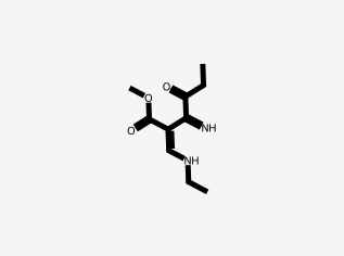 CCN/C=C(\C(=N)C(=O)CC)C(=O)OC